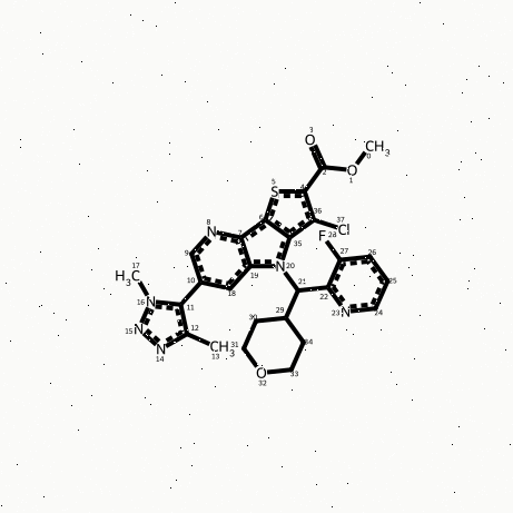 COC(=O)c1sc2c3ncc(-c4c(C)nnn4C)cc3n(C(c3ncccc3F)C3CCOCC3)c2c1Cl